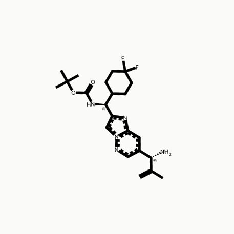 C=C(C)[C@@H](N)c1cnn2cc([C@@H](NC(=O)OC(C)(C)C)C3CCC(F)(F)CC3)nc2c1